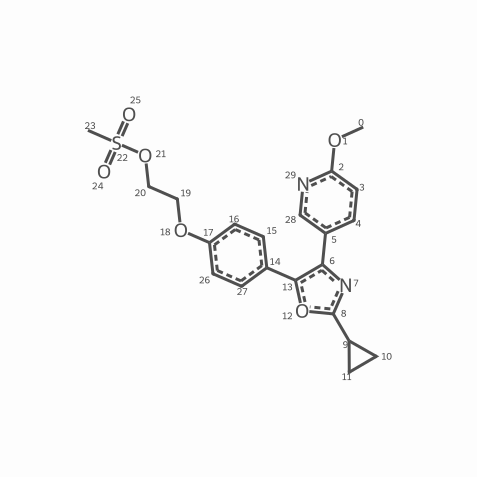 COc1ccc(-c2nc(C3CC3)oc2-c2ccc(OCCOS(C)(=O)=O)cc2)cn1